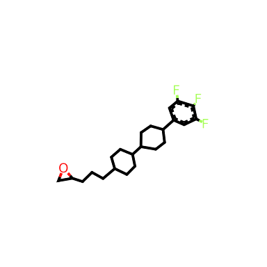 Fc1cc(C2CCC(C3CCC(CCCC4CO4)CC3)CC2)cc(F)c1F